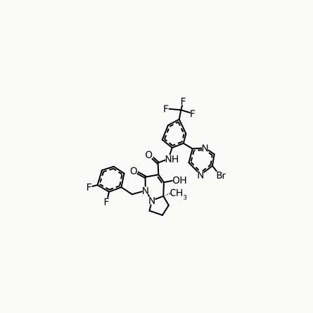 C[C@]12CCCN1N(Cc1cccc(F)c1F)C(=O)C(C(=O)Nc1ccc(C(F)(F)F)cc1-c1cnc(Br)cn1)=C2O